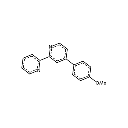 COc1ccc(-c2ccnc(-c3ccccn3)c2)cc1